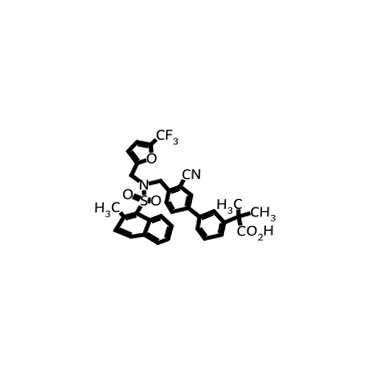 Cc1ccc2ccccc2c1S(=O)(=O)N(Cc1ccc(C(F)(F)F)o1)Cc1ccc(-c2cccc(C(C)(C)C(=O)O)c2)cc1C#N